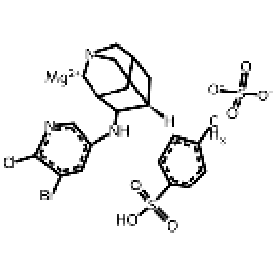 Cc1ccc(S(=O)(=O)O)cc1.Clc1ncc(NC2C3CC4C[C@H]2CN(C4)C3)cc1Br.O=S(=O)([O-])[O-].[Mg+2]